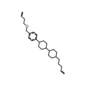 C=CCCCC1CCC(C2CCC(c3ccc(COCCC=C)cc3)CC2)CC1